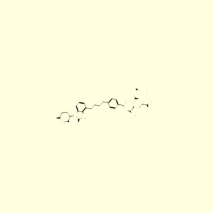 C[C@@H](OCc1ccc(CCCCc2cccc3c2n(C)c(=O)n3C2CCC(=O)NC2=O)cc1)[C@H](CCC(N)=O)NC(=O)OC(C)(C)C